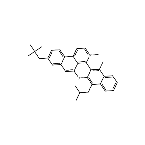 Cc1c2c(c(CC(C)C)c3ccccc13)Oc1cc3cc(CC(C)(C)C)ccc3c3cc[n+](C)c-2c13